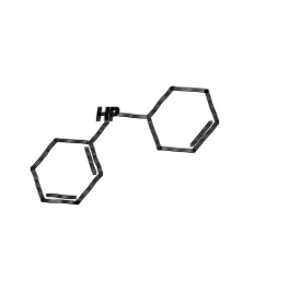 C1=CCCC(PC2CC=CCC2)=C1